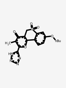 CCCCOc1ccc2c(c1)S(=O)(=O)Cc1c-2oc(-c2nnn[nH]2)c(C)c1=O